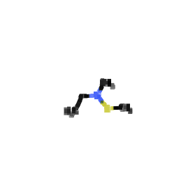 CCN(C)SC